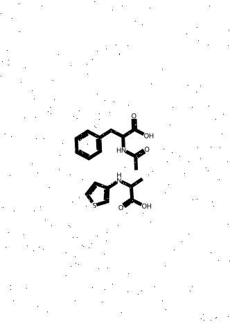 CC(=O)NC(Cc1ccccc1)C(=O)O.CC(Nc1ccsc1)C(=O)O